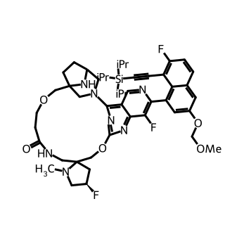 COCOc1cc(-c2ncc3c4nc(nc3c2F)OCC2(CNC(=O)CCOCC35CCC(CN4C3)N5)C[C@@H](F)CN2C)c2c(C#C[Si](C(C)C)(C(C)C)C(C)C)c(F)ccc2c1